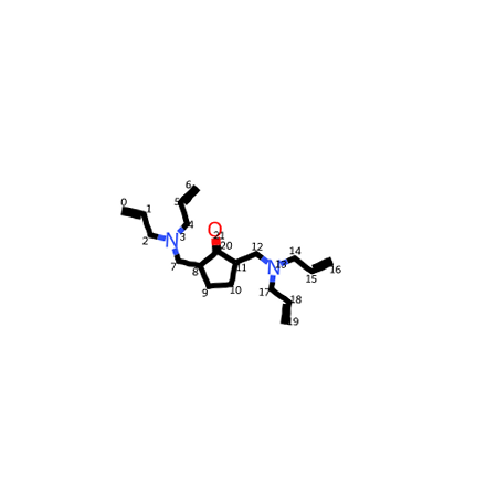 C=CCN(CC=C)CC1CCC(CN(CC=C)CC=C)C1=O